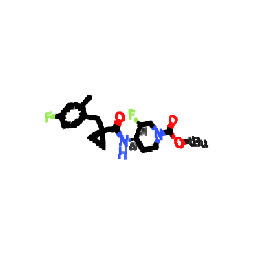 Cc1cc(F)ccc1CC1(C(=O)N[C@H]2CCN(C(=O)OC(C)(C)C)C[C@@H]2F)CC1